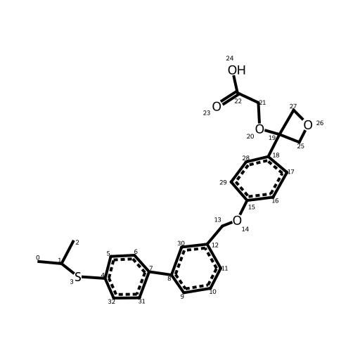 CC(C)Sc1ccc(-c2cccc(COc3ccc(C4(OCC(=O)O)COC4)cc3)c2)cc1